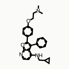 CN(C)CCOc1ccc(-c2oc3nccc(NCC4CC4)c3c2-c2ccccc2)cc1